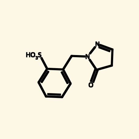 O=C1CC=NN1Cc1ccccc1S(=O)(=O)O